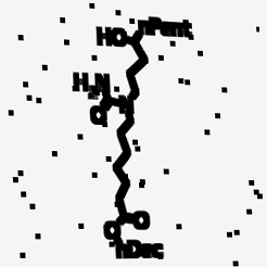 CCCCCCCCCCOC(=O)CCCCCCN(CCCC(O)CCCCC)C(N)=O